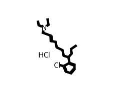 CCCC(CCCCC=CCN(CC)CC)c1ccccc1Cl.Cl